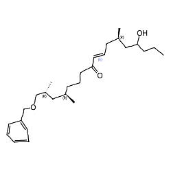 CCCC(O)C[C@H](C)C/C=C/C(=O)CCC[C@@H](C)C[C@@H](C)COCc1ccccc1